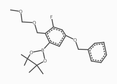 COCOCc1c(F)cc(OCc2ccccc2)cc1B1OC(C)(C)C(C)(C)O1